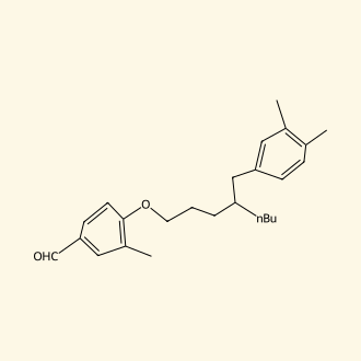 CCCCC(CCCOc1ccc(C=O)cc1C)Cc1ccc(C)c(C)c1